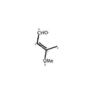 COC(C)=C[C]=O